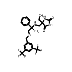 CCC1(CN[C@](C)(COCc2cc(C(F)(F)F)cc(C(F)(F)F)c2)c2ccccc2)NC(=O)NC1=O